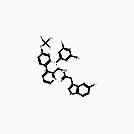 O=C(Cc1c[nH]c2ccc(F)cc12)N[C@@H](Cc1cc(F)cc(F)c1)c1ncccc1-c1ccc(OC(F)(F)F)cc1